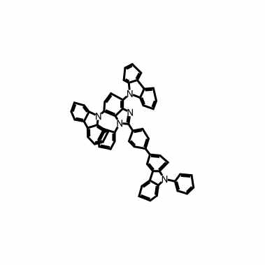 c1ccc(-n2c(-c3ccc(-c4ccc5c(c4)c4ccccc4n5-c4ccccc4)cc3)nc3c(-n4c5ccccc5c5ccccc54)ccc(-n4c5ccccc5c5ccccc54)c32)cc1